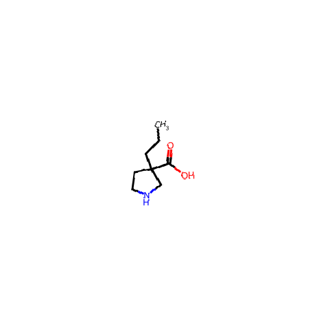 CCCC1(C(=O)O)CCNC1